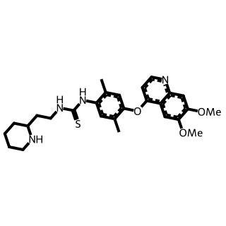 COc1cc2nccc(Oc3cc(C)c(NC(=S)NCCC4CCCCN4)cc3C)c2cc1OC